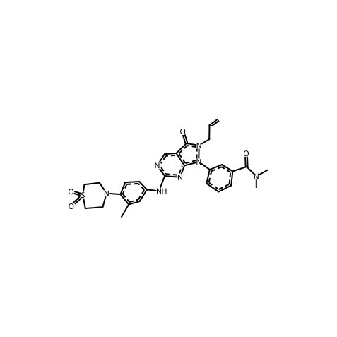 C=CCn1c(=O)c2cnc(Nc3ccc(N4CCS(=O)(=O)CC4)c(C)c3)nc2n1-c1cccc(C(=O)N(C)C)c1